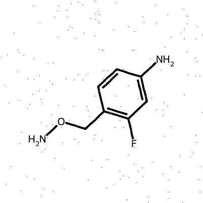 NOCc1ccc(N)cc1F